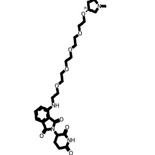 CN1CC[C@@H](OCCOCCOCCOCCOCCNc2cccc3c2C(=O)N(C2CCC(=O)NC2=O)C3=O)C1